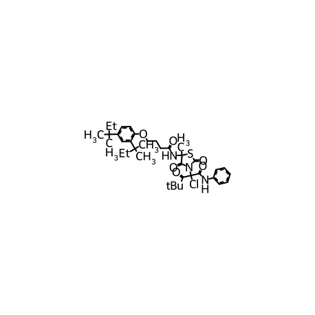 CCC(C)(C)c1ccc(OCCCC(=O)NC2(C)SC(=O)N(C(Cl)(C(=O)Nc3ccccc3)C(=O)C(C)(C)C)C2=O)c(C(C)(C)CC)c1